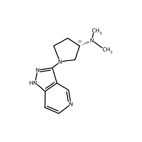 CN(C)[C@H]1CCN(c2n[nH]c3ccncc23)C1